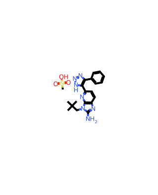 CC(C)(C)Cn1c(N)nc2ccc(-c3[nH]nnc3-c3ccccc3)nc21.CS(=O)(=O)O